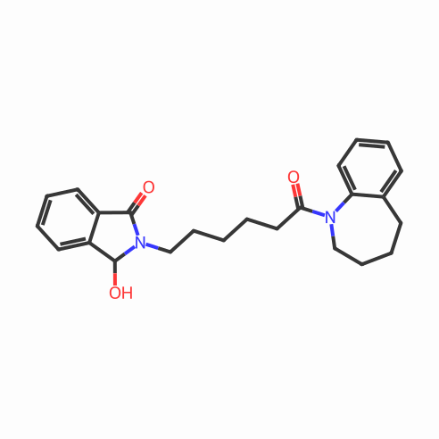 O=C(CCCCCN1C(=O)c2ccccc2C1O)N1CCCCc2ccccc21